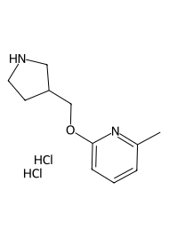 Cc1cccc(OCC2CCNC2)n1.Cl.Cl